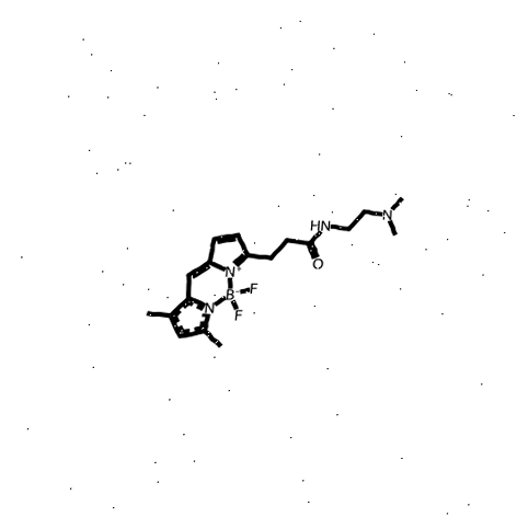 Cc1cc(C)n2c1C=C1C=CC(CCC(=O)NCCN(C)C)=[N+]1[B-]2(F)F